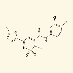 Cc1ccc(C2=NS(=O)(=O)N(C)C(C(=O)Nc3ccc(F)c(Cl)c3)=C2)s1